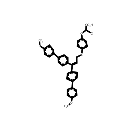 O=C(O)C(Cl)Oc1ccc(SCC=C(c2ccc(-c3ccc(OC(F)(F)F)cc3)cc2)c2ccc(-c3ccc(OC(F)(F)F)cc3)cc2)cc1